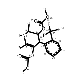 COC(=O)OC1=C(C)NC(C)C(OC(=O)OC)C1c1ccccc1C(F)(F)F